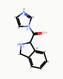 O=C(C1NCc2ccccc21)n1ccnc1